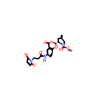 C=C1C[C@@H](C2OC(=O)c3cc(NC(=O)CCN4C(=O)C=CC4=O)ccc3O2)N(C(=O)OC(C)(C)C)C1